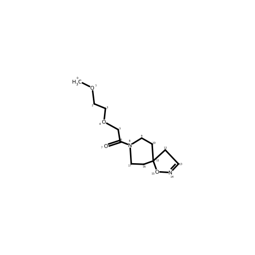 COCCOCC(=O)N1CCC2(CC=NO2)CC1